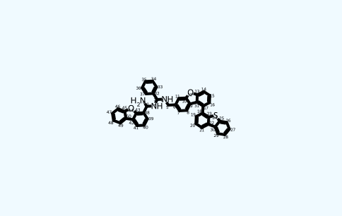 NC(NC(NCc1ccc2c(c1)oc1cccc(-c3cccc4c3sc3ccccc34)c12)c1ccccc1)c1cccc2c1oc1ccccc12